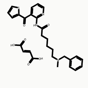 CN(CCCCCC(=O)Nc1ncccc1C(=O)c1cccs1)Cc1ccccc1.O=C(O)C=CC(=O)O